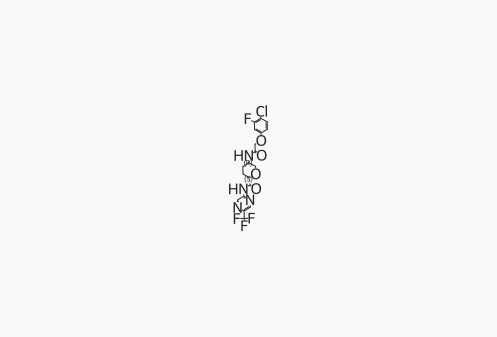 O=C(COc1ccc(Cl)c(F)c1)N[C@@H]1CC[C@@H](C(=O)Nc2cnc(C(F)(F)F)cn2)OC1